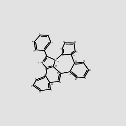 c1ccc(-c2nc3c4ccccc4cc4c3n2-c2ccccc2-c2ccccc2-4)cc1